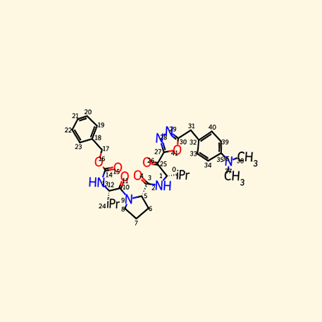 CC(C)[C@H](NC(=O)[C@@H]1CCCN1C(=O)[C@@H](NC(=O)OCc1ccccc1)C(C)C)C(=O)c1nnc(Cc2ccc(N(C)C)cc2)o1